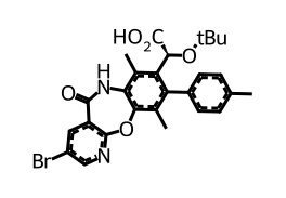 Cc1ccc(-c2c(C)c3c(c(C)c2[C@H](OC(C)(C)C)C(=O)O)NC(=O)c2cc(Br)cnc2O3)cc1